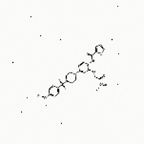 COC(=O)COc1cc(N2CCN(S(=O)(=O)c3ccc(OC(C)C)cc3)CC2)ccc1NC(=O)c1ccco1